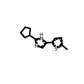 Cc1ccc(-c2cnc(C3CCCC3)[nH]2)s1